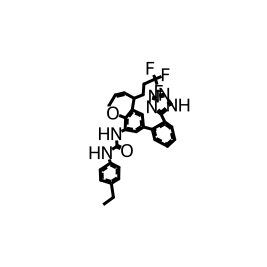 CCc1ccc(NC(=O)Nc2cc(-c3ccccc3-c3nnn[nH]3)cc3c2OCC=CC3CCC(F)(F)F)cc1